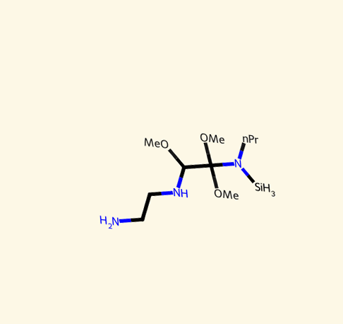 CCCN([SiH3])C(OC)(OC)C(NCCN)OC